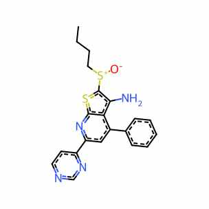 CCCC[S+]([O-])c1sc2nc(-c3ccncn3)cc(-c3ccccc3)c2c1N